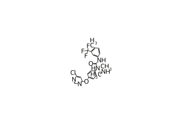 CNC.Cc1ccc(NC(=O)Nc2ccc(Oc3cc(Cl)ncn3)cc2)cc1C(F)(F)F